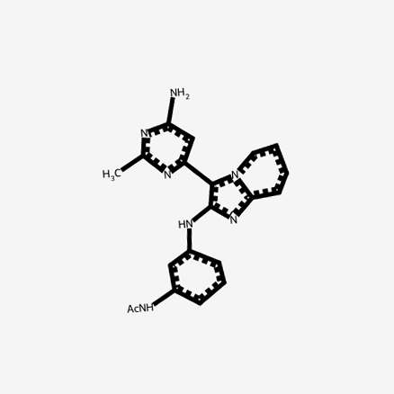 CC(=O)Nc1cccc(Nc2nc3ccccn3c2-c2cc(N)nc(C)n2)c1